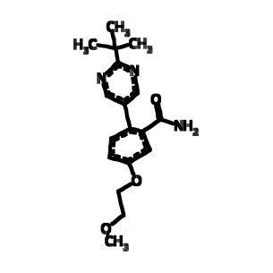 COCCOc1ccc(-c2cnc(C(C)(C)C)nc2)c(C(N)=O)c1